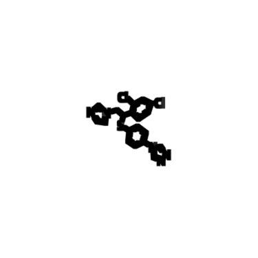 Clc1ccc(C(Cn2ccnc2)Sc2ccc(-n3cnnc3)cc2)c(Cl)c1